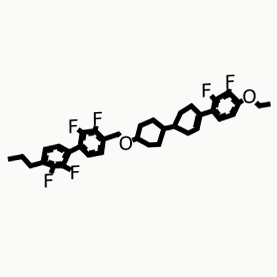 CCCc1ccc(-c2ccc(COC3CCC(C4CC=C(c5ccc(OCC)c(F)c5F)CC4)CC3)c(F)c2F)c(F)c1F